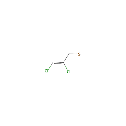 [S]CC(Cl)=CCl